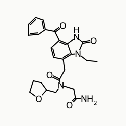 CCn1c(=O)[nH]c2c(C(=O)c3ccccc3)ccc(CC(=O)N(CC(N)=O)CC3CCCO3)c21